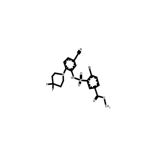 COC(=O)c1ccc(Br)c(S(=O)(=O)Nc2cc(C#N)ccc2N2CCC(F)(F)CC2)c1